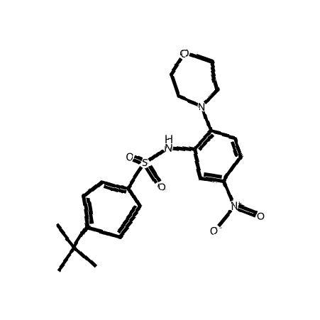 CC(C)(C)c1ccc(S(=O)(=O)Nc2cc([N+](=O)[O-])ccc2N2CCOCC2)cc1